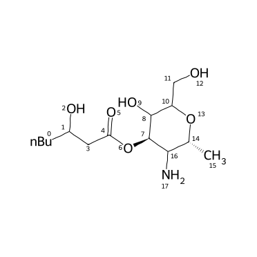 CCCCC(O)CC(=O)O[C@H]1C(O)C(CO)O[C@H](C)C1N